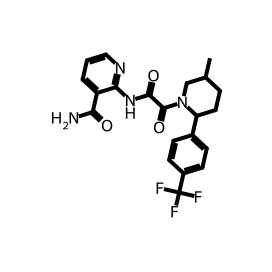 CC1CCC(c2ccc(C(F)(F)F)cc2)N(C(=O)C(=O)Nc2ncccc2C(N)=O)C1